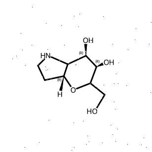 OCC1O[C@@H]2CCNC2[C@@H](O)[C@H]1O